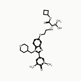 Cc1cc(-c2nc3cc(OCCN[C@H](C(=O)OC4CCC4)[C@@H](C)O)ccc3n2CC2CCOCC2)cn(C)c1=O